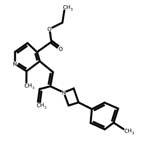 C=C/C(=C\c1c(C(=O)OCC)ccnc1C)N1CC(c2ccc(C)cc2)C1